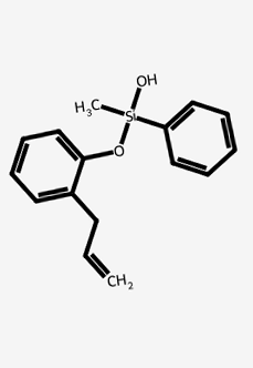 C=CCc1ccccc1O[Si](C)(O)c1ccccc1